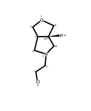 ClCCN1CC2COC[C@@H]2C1